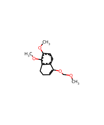 COCOC1=CCCc2c1ccc(OC)c2OC